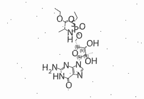 CCOC(=O)C(C)NP(=O)(OC[C@H]1O[C@@H](n2cnc3c(=O)[nH]c(N)nc32)[C@](C)(O)[C@@H]1O)SCC